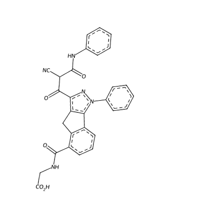 N#CC(C(=O)Nc1ccccc1)C(=O)c1nn(-c2ccccc2)c2c1Cc1c(C(=O)NCC(=O)O)cccc1-2